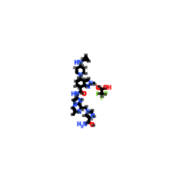 Cc1cn2cc(NC(=O)c3ccc(N4CCC(NC5CC5)CC4)c4cn(C)nc34)nc2c(Cn2cnc(C(N)=O)c2)n1.O=C(O)C(F)(F)F